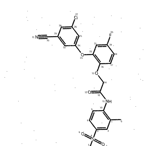 Cc1cc(S(N)(=O)=O)ccc1NC(=O)COc1ccc(F)cc1Oc1cc(Cl)cc(C#N)c1